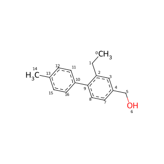 CCc1cc(CO)ccc1-c1ccc(C)cc1